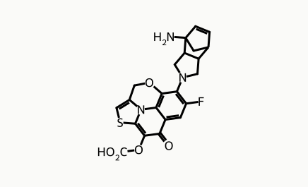 NC12C=CC(C1)C1CN(c3c(F)cc4c(=O)c(OC(=O)O)c5scc6n5c4c3OC6)CC12